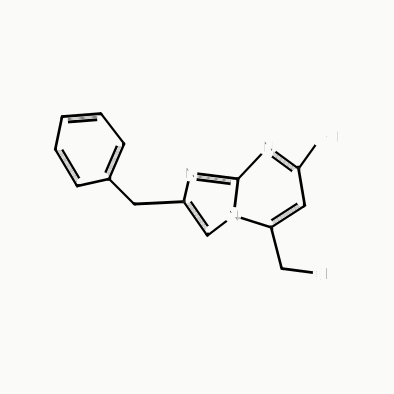 Oc1cc(CCl)n2cc(Cc3ccccc3)nc2n1